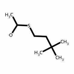 CC([O])SCCC(C)(C)C